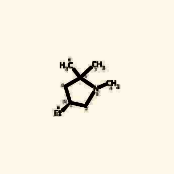 CC[C@@H]1CN(C)C(C)(C)C1